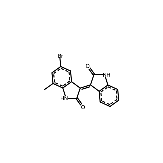 Cc1cc(Br)cc2c1NC(=O)/C2=C1/C(=O)Nc2ccccc21